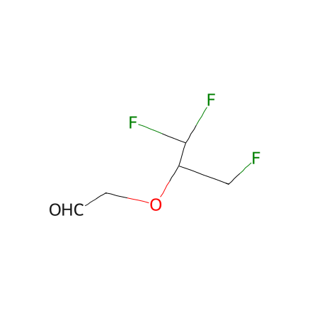 O=CCOC(CF)C(F)F